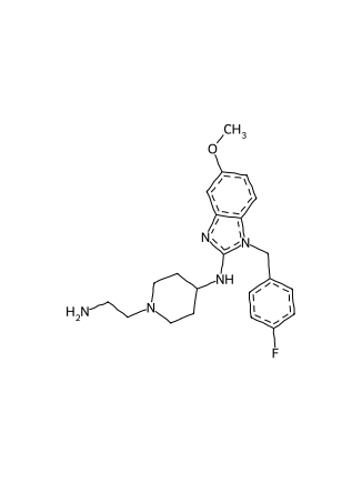 COc1ccc2c(c1)nc(NC1CCN(CCN)CC1)n2Cc1ccc(F)cc1